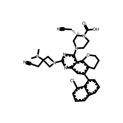 CN(C)C1(CC#N)CN(c2nc(N3CCN(C(=O)O)[C@@H](CC#N)C3)c3c4c(c(-c5cccc6cccc(Cl)c56)cc3n2)CCCO4)C1